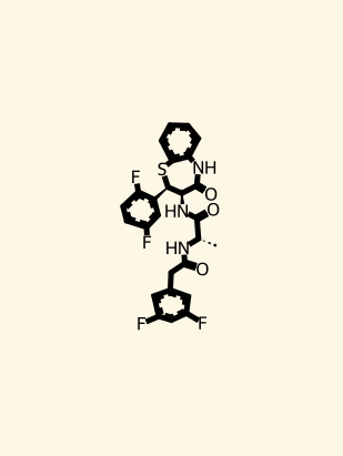 C[C@H](NC(=O)Cc1cc(F)cc(F)c1)C(=O)N[C@@H]1C(=O)Nc2ccccc2S[C@@H]1c1cc(F)ccc1F